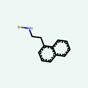 BrNCCc1cccc2ccccc12